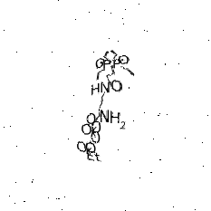 C=CCP(=O)(CC=C)C(CCC(=O)NCCCC[C@H](N)C(=O)OC(=O)OCOC(=O)CC)P(=O)(CC=C)CC=C